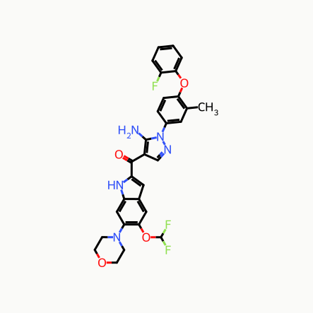 Cc1cc(-n2ncc(C(=O)c3cc4cc(OC(F)F)c(N5CCOCC5)cc4[nH]3)c2N)ccc1Oc1ccccc1F